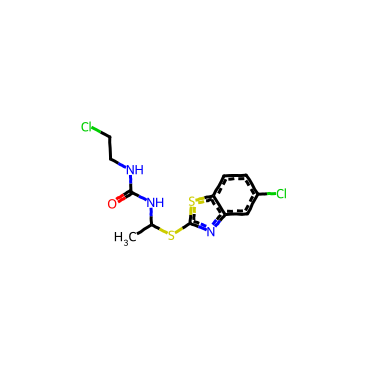 CC(NC(=O)NCCCl)Sc1nc2cc(Cl)ccc2s1